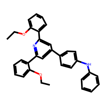 CCOc1ccccc1-c1cc(-c2ccc(Nc3ccccc3)cc2)cc(-c2ccccc2OCC)n1